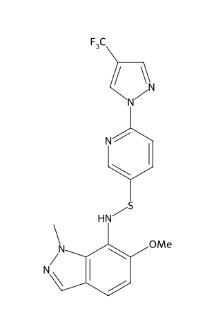 COc1ccc2cnn(C)c2c1NSc1ccc(-n2cc(C(F)(F)F)cn2)nc1